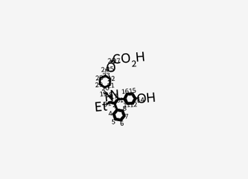 CCc1c(-c2ccccc2)c(-c2ccc(O)cc2)nn1C[C@H]1CC[C@@H](COCC(=O)O)CC1